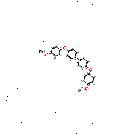 CC(C)Oc1ccc(Oc2ccc(-c3ccc(Oc4ccc(OC(C)C)cc4)cc3)cc2)cc1